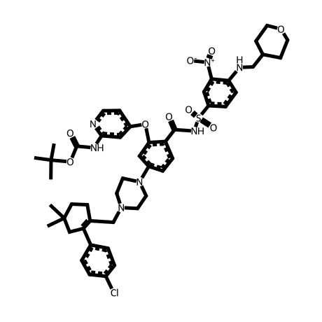 CC1(C)CCC(CN2CCN(c3ccc(C(=O)NS(=O)(=O)c4ccc(NCC5CCOCC5)c([N+](=O)[O-])c4)c(Oc4ccnc(NC(=O)OC(C)(C)C)c4)c3)CC2)=C(c2ccc(Cl)cc2)C1